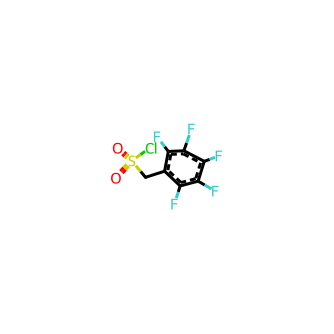 O=S(=O)(Cl)Cc1c(F)c(F)c(F)c(F)c1F